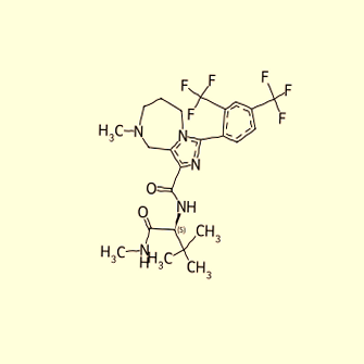 CNC(=O)[C@@H](NC(=O)c1nc(-c2ccc(C(F)(F)F)cc2C(F)(F)F)n2c1CN(C)CCC2)C(C)(C)C